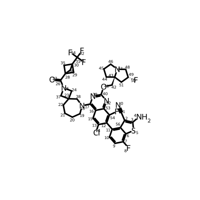 N#Cc1c(N)sc2c(F)ccc(-c3c(Cl)cc4c(N5CCCCC6(CN(C(=O)C78CC(C(F)(F)F)(C7)C8)C6)C5)nc(OC[C@@]56CCCN5C[C@H](F)C6)nc4c3F)c12